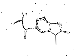 CC(Cl)C(=O)c1ccc2c(c1)C(C)C(=O)N2